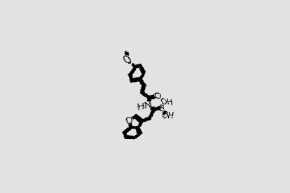 COc1ccc(CCC(=O)NC(Cc2coc3ccccc23)B(O)O)cc1